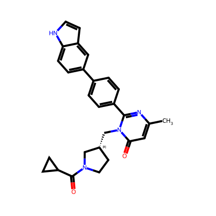 Cc1cc(=O)n(C[C@@H]2CCN(C(=O)C3CC3)C2)c(-c2ccc(-c3ccc4[nH]ccc4c3)cc2)n1